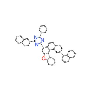 c1ccc(-c2nc(-c3ccc4ccccc4c3)nc(-c3cc4oc5ccccc5c4c4c3ccc3ccc(-c5cccc6ccccc56)cc34)n2)cc1